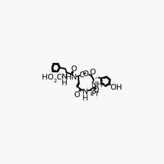 CC(C)[C@@H]1NC(=O)/C=C/[C@@H](NC(=O)C(Cc2ccccc2)NC(=O)O)COC(=O)[C@H](Cc2ccc(O)cc2)NC1=O